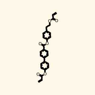 C=CC(=O)OCCc1ccc(OC(=O)c2ccc(-c3ccc(OC(=O)C=C)cc3)cc2)cc1